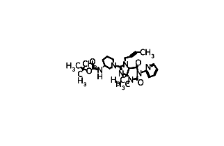 CC#CCN1C(N2CCC[C@@H](NC(=O)OC(C)(C)C)C2)=NC2(C)C1C(=O)N(c1ccccn1)C(=O)N2C